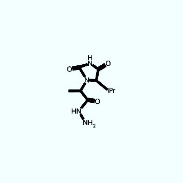 CC(C)C1C(=O)NC(=O)N1C(C)C(=O)NN